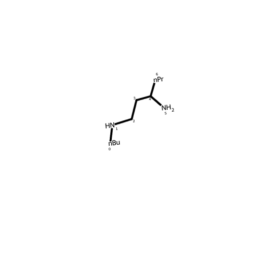 CCCCNCCC(N)CCC